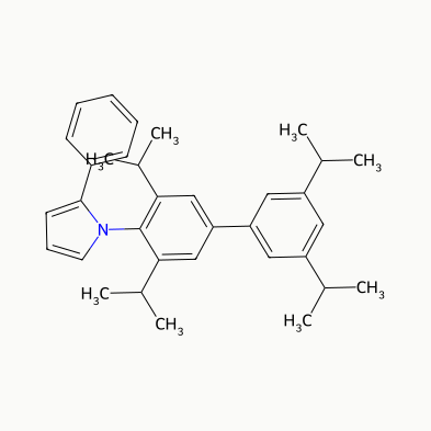 CC(C)c1cc(-c2cc(C(C)C)c(-n3cccc3-c3ccccc3)c(C(C)C)c2)cc(C(C)C)c1